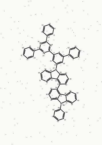 c1ccc(-c2cc(-c3nc(-c4ccccc4)nc(-c4ccccc4)n3)cc(-n3c4ccccc4c4c(-c5cccc6c5c5ccccc5n6-c5ccccc5)cccc43)c2)cc1